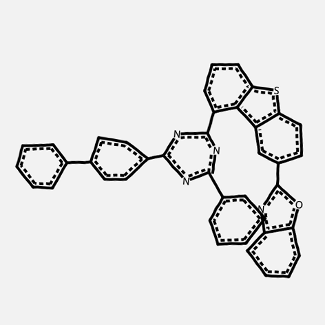 c1ccc(-c2ccc(-c3nc(-c4ccccc4)nc(-c4cccc5sc6ccc(-c7nc8ccccc8o7)cc6c45)n3)cc2)cc1